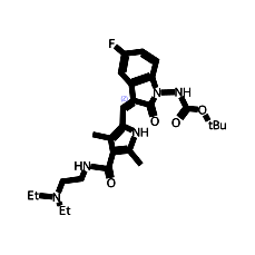 CCN(CC)CCNC(=O)c1c(C)[nH]c(/C=C2\C(=O)N(NC(=O)OC(C)(C)C)c3ccc(F)cc32)c1C